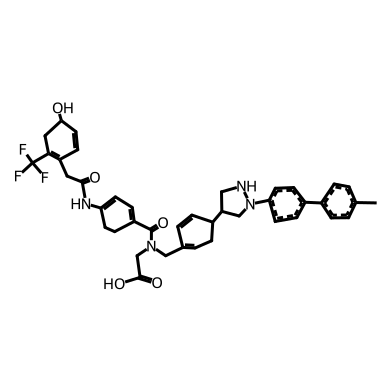 Cc1ccc(-c2ccc(N3CC(C4C=CC(CN(CC(=O)O)C(=O)C5=CC=C(NC(=O)CC6=C(C(F)(F)F)CC(O)C=C6)CC5)=CC4)CN3)cc2)cc1